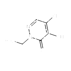 CCn1ncc(Cl)c(C)c1=O